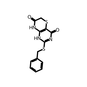 O=C1CSc2c([nH]c(SCc3ccccc3)nc2=O)N1